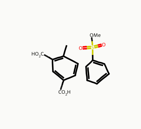 COS(=O)(=O)c1ccccc1.Cc1ccc(C(=O)O)cc1C(=O)O